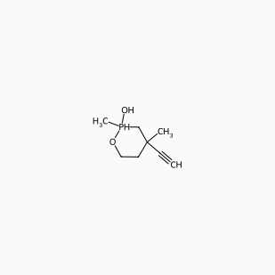 C#CC1(C)CCO[PH](C)(O)C1